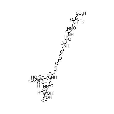 N[C@@H](CCC(=O)O)C(=O)NCC(=O)NCC(=O)NCC(=O)NCC(=O)NCCOCCOCCOCCOCCC(=O)N[C@@H](CCC(=O)NC[C@H](O)[C@@H](O)[C@H](O)[C@H](O)CO)C(=O)NC[C@H](O)[C@@H](O)[C@H](O)[C@H](O)CO